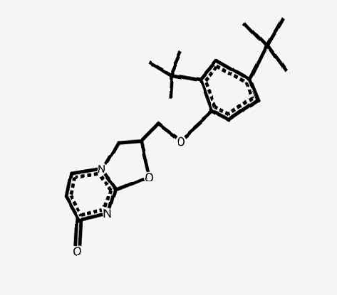 CC(C)(C)c1ccc(OCC2Cn3ccc(=O)nc3O2)c(C(C)(C)C)c1